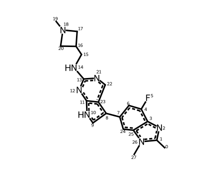 Cc1nc2c(F)cc(-c3c[nH]c4nc(NCC5CN(C)C5)ncc34)cc2n1C